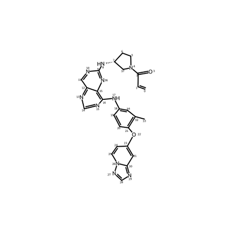 C=CC(=O)N1CC[C@@H](Nc2ncc3ncnc(Nc4ccc(Oc5ccn6ncnc6c5)c(C)c4)c3n2)C1